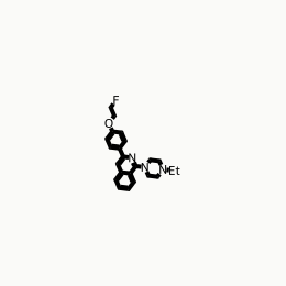 CCN1CCN(c2nc(-c3ccc(OCCF)cc3)cc3ccccc23)CC1